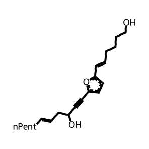 CCCCCC=CCC(O)C#Cc1ccc(C=CCCCCO)o1